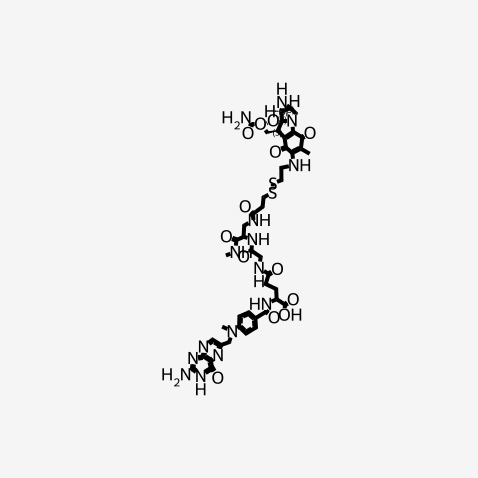 CNC(=O)C(CNC(=O)CCSSCCNC1=C(C)C(=O)C2=C(C1=O)[C@@H](COC(N)=O)[C@@]1(OC)[C@H]3N[C@H]3CN21)NC(=O)CNC(=O)CCC(NC(=O)c1ccc(N(C)Cc2cnc3nc(N)[nH]c(=O)c3n2)cc1)C(=O)O